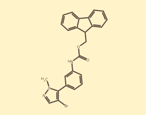 Cn1ncc(Br)c1-c1cccc(NC(=O)OCC2c3ccccc3-c3ccccc32)c1